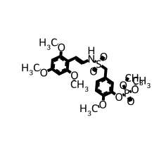 COc1cc(OC)c(C=CNS(=O)(=O)Cc2ccc(OC)c(OP(=O)(OC)OC)c2)c(OC)c1